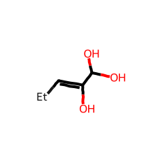 CCC=C(O)C(O)O